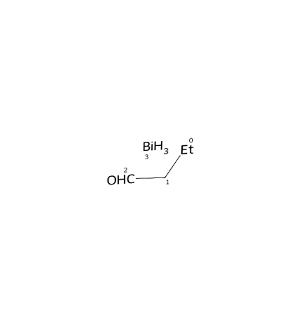 CCCC=O.[BiH3]